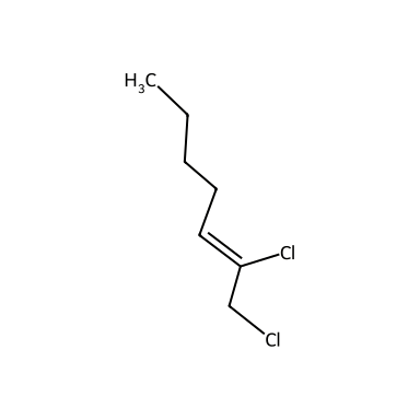 CCCCC=C(Cl)CCl